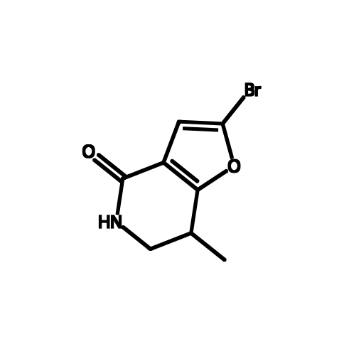 CC1CNC(=O)c2cc(Br)oc21